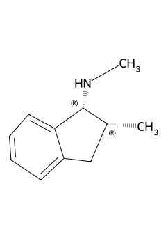 CN[C@H]1c2ccccc2C[C@H]1C